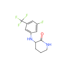 O=C1NCCCC1Nc1cc(F)cc(C(F)(F)F)c1